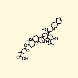 CC(C)C1=C2[C@H]3CC[C@@H]4[C@@]5(C)CC[C@H](OC(=O)CC(C)(C)C(=O)O)C6(C)C[C@]65CC[C@@]4(C)[C@]3(C)CC[C@@]2([C@H](O)CN2CCc3ccccc3C2)CC1=O